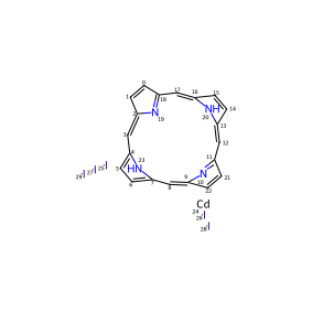 C1=Cc2cc3ccc(cc4nc(cc5ccc(cc1n2)[nH]5)C=C4)[nH]3.[Cd].[I].[I].[I].[I].[I]